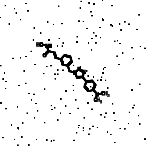 CN(C)c1ccc(-c2cn(Cc3cccc(C=CC(=O)NO)c3)nn2)cc1